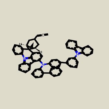 C=C=CC1C[C@H]2CCC[C@H](C1)C21c2ccccc2-n2c3ccccc3c3c(N(c4ccc(-c5cccc(-n6c7ccccc7c7ccccc76)c5)cc4)c4ccccc4-c4ccccc4)ccc1c32